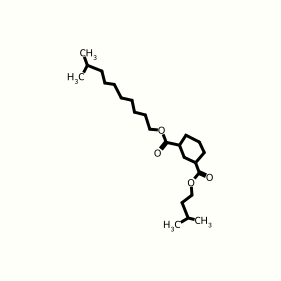 CC(C)CCCCCCCCOC(=O)C1CCCC(C(=O)OCCC(C)C)C1